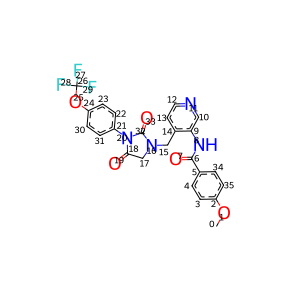 COc1ccc(C(=O)Nc2cnccc2CN2CC(=O)N(c3ccc(OC(F)(F)F)cc3)C2=O)cc1